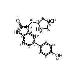 Cl.O=c1[nH]c2ncc(-c3ccc(O)cc3)nc2n1CC1CCCN1